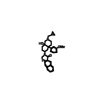 COc1cccc(C23CCN(CC4CC4)CC2(O)CCC(N(CC(C)C)C(=O)c2ccc4ccccc4c2)C3)c1